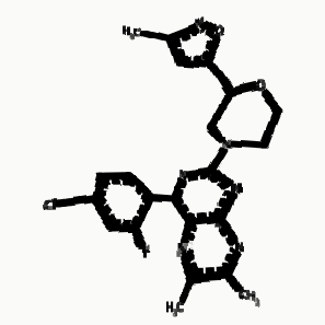 Cc1cc(C2CN(c3nc(-c4ccc(Cl)cc4F)c4nc(C)c(C)nc4n3)CCO2)on1